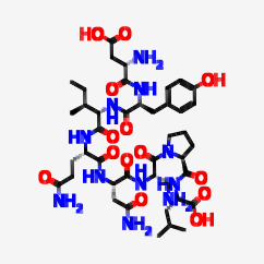 CC[C@H](C)[C@H](NC(=O)[C@H](Cc1ccc(O)cc1)NC(=O)[C@@H](N)CC(=O)O)C(=O)N[C@@H](CCC(N)=O)C(=O)N[C@@H](CC(N)=O)C(=O)N[C@@H](CN)C(=O)N1CCC[C@H]1C(=O)N[C@@H](CC(C)C)C(=O)O